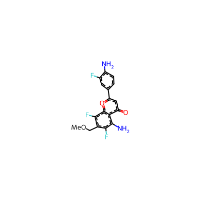 COCc1c(F)c(N)c2c(=O)cc(-c3ccc(N)c(F)c3)oc2c1F